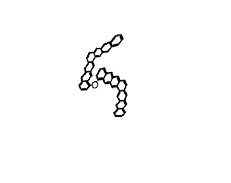 c1ccc2cc3cc4c(ccc5cc6cc7cccc(Oc8cccc9cc%10cc%11ccc%12cc%13cc%14ccccc%14cc%13cc%12c%11cc%10cc89)c7cc6cc54)cc3cc2c1